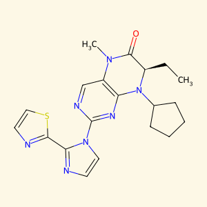 CC[C@@H]1C(=O)N(C)c2cnc(-n3ccnc3-c3nccs3)nc2N1C1CCCC1